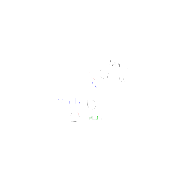 COc1cccc(C2(C(=O)NCCC3(c4ccc(Cl)c(Cl)c4)CCN(C(=O)c4cc(OC)c(OC)c(OC)c4)C3)CCNCC2)c1